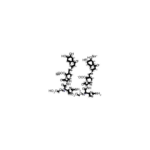 Nc1nc(/C(=N/OCC(=O)O)C(=O)N[C@@H]2C(=O)N3C(C(=O)[O-])=C(CSc4cc(=O)c5cc(O)c(O)cc5s4)CS[C@H]23)cs1.Nc1nc(/C(=N/OCC(=O)O)C(=O)N[C@@H]2C(=O)N3C(C(=O)[O-])=C(CSc4cc(=O)c5cc(O)c(O)cc5s4)CS[C@H]23)cs1.[Na+].[Na+]